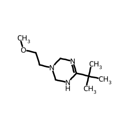 COCCN1CN=C(C(C)(C)C)NC1